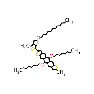 CCCCCCCCCCCCOc1cc2c(C)sc(-c3cc4cc5c(OCCCCCCCC)c6cc7sc(C)cc7cc6c(OCCCCCCCC)c5cc4s3)c2s1